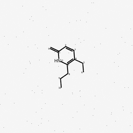 C=C1C=CC(CC)=C(CCC)N1